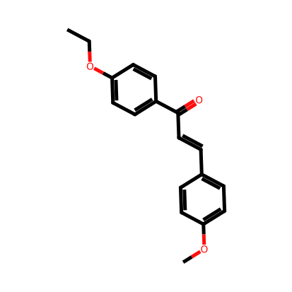 CCOc1ccc(C(=O)/C=C/c2ccc(OC)cc2)cc1